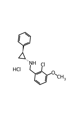 COc1cccc(CN[C@@H]2C[C@H]2c2ccccc2)c1Cl.Cl